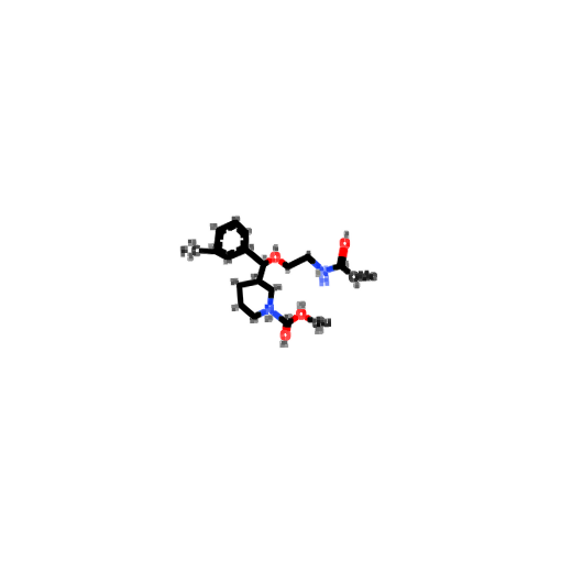 COC(=O)NCCOC(c1cccc(C(F)(F)F)c1)C1CCCN(C(=O)OC(C)(C)C)C1